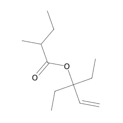 C=CC(CC)(CC)OC(=O)C(C)CC